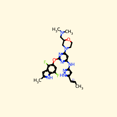 C/C=C/c1cc(Nc2cc(N3CCOC(CN(C)C)C3)nc(Oc3cc(F)c4[nH]c(C)cc4c3F)n2)n[nH]1